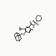 O=C(NS(=O)(=O)N1CCOCC1)c1cc(C2CC2)c(OCC23CC4CC(CC(C4)C2)C3)cc1F